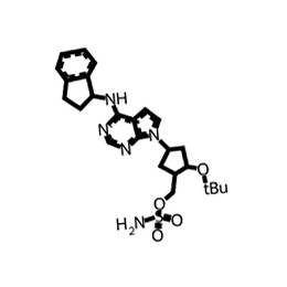 CC(C)(C)OC1CC(n2ccc3c(NC4CCc5ccccc54)ncnc32)CC1COS(N)(=O)=O